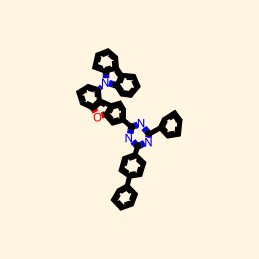 c1ccc(-c2ccc(-c3nc(-c4ccccc4)nc(-c4ccc5c(c4)oc4cccc(-n6c7ccccc7c7ccccc76)c45)n3)cc2)cc1